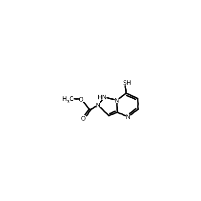 COC(=O)N1C=C2N=CC=C(S)N2N1